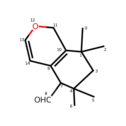 CC1(C)CC(C)(C)C(C=O)C2=C1COC=C2